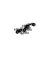 CCO[P@@](=O)(N[C@@H](C)C(=O)OCCN1CCOCC1)Oc1cc(NC(=O)c2c[nH]c3ccccc3c2=O)c(C(C)(C)C)cc1C(C)(C)C